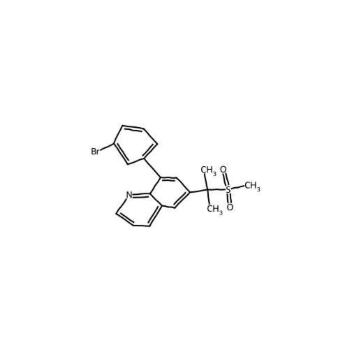 CC(C)(c1cc(-c2cccc(Br)c2)c2ncccc2c1)S(C)(=O)=O